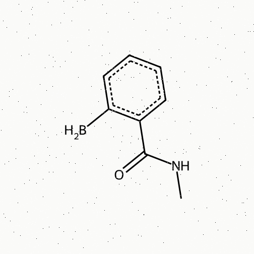 Bc1ccccc1C(=O)NC